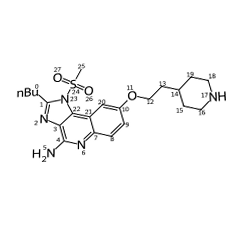 CCCCc1nc2c(N)nc3ccc(OCCC4CCNCC4)cc3c2n1S(C)(=O)=O